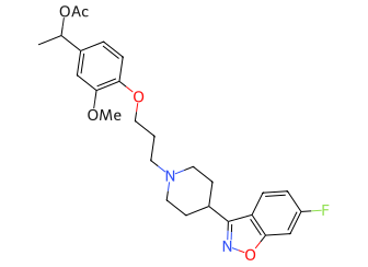 COc1cc(C(C)OC(C)=O)ccc1OCCCN1CCC(c2noc3cc(F)ccc23)CC1